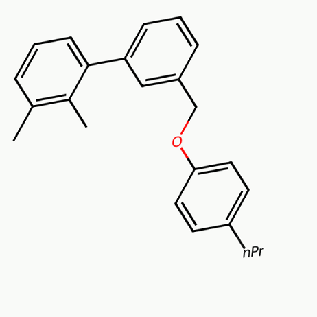 CCCc1ccc(OCc2cccc(-c3cccc(C)c3C)c2)cc1